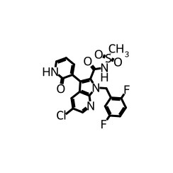 CS(=O)(=O)NC(=O)c1c(-c2ccc[nH]c2=O)c2cc(Cl)cnc2n1Cc1cc(F)ccc1F